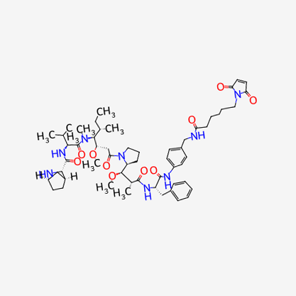 CC[C@H](C)[C@@H]([C@H](CC(=O)N1CCC[C@H]1[C@H](OC)[C@@H](C)C(=O)N[C@@H](Cc1ccccc1)C(=O)Nc1ccc(CNC(=O)CCCCCN2C(=O)C=CC2=O)cc1)OC)N(C)C(=O)[C@@H](NC(=O)[C@H]1N[C@@H]2CC[C@H]1C2)C(C)C